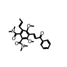 CC=Cc1c(OC)c(C=CC(=O)c2ccccc2)c(OC)c(C(=O)N(C)C)c1C(=O)N(C)C